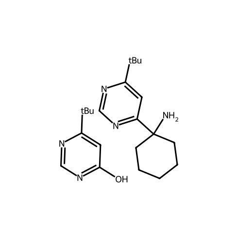 CC(C)(C)c1cc(C2(N)CCCCC2)ncn1.CC(C)(C)c1cc(O)ncn1